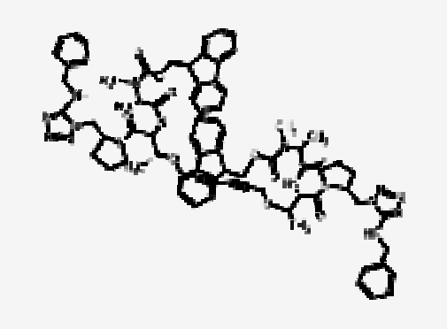 C[C@@H](OCC#CC#CCO[C@H](C)[C@H](NC(=O)[C@H](C)N(C)C(=O)OCC1c2ccccc2-c2ccccc21)C(=O)N1CCC[C@H]1Cn1nnnc1NCc1ccccc1)[C@H](NC(=O)[C@H](C)N(C)C(=O)OCC1c2ccccc2-c2ccccc21)C(=O)N1CCC[C@H]1Cn1nnnc1NCc1ccccc1